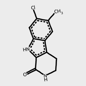 Cc1cc2c3c([nH]c2cc1Cl)C(=O)NCC3